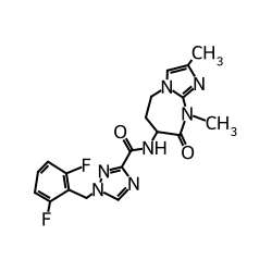 Cc1cn2c(n1)N(C)C(=O)C(NC(=O)c1ncn(Cc3c(F)cccc3F)n1)CC2